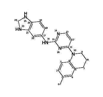 Cc1ccc2c(c1)CCCN2c1ccnc(Nc2ccc3c(c2)N[CH]N3)n1